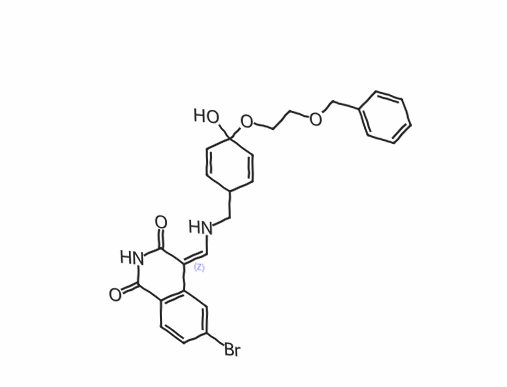 O=C1NC(=O)c2ccc(Br)cc2/C1=C/NCC1C=CC(O)(OCCOCc2ccccc2)C=C1